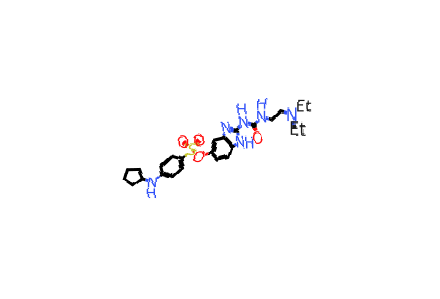 CCN(CC)CCNC(=O)Nc1nc2cc(OS(=O)(=O)c3ccc(NC4CCCC4)cc3)ccc2[nH]1